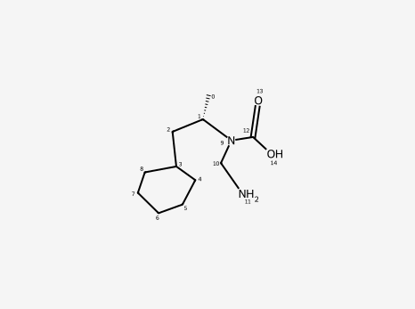 C[C@@H](CC1CCCCC1)N(CN)C(=O)O